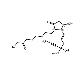 CC#CC(O)(CC=C[C@H]1[C@H](O)CC(=O)[C@@H]1CCCCCCC(=O)CO)CCCCCC